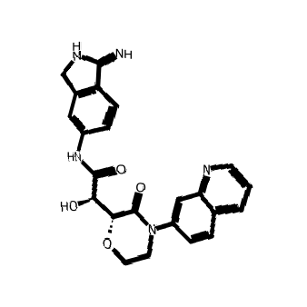 N=C1NCc2cc(NC(=O)[C@H](O)[C@H]3OCCN(c4ccc5cccnc5c4)C3=O)ccc21